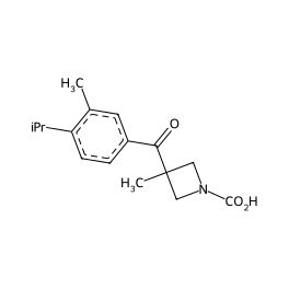 Cc1cc(C(=O)C2(C)CN(C(=O)O)C2)ccc1C(C)C